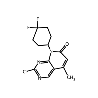 Cc1cc(=O)n(C2CCC(F)(F)CC2)c2nc(Cl)ncc12